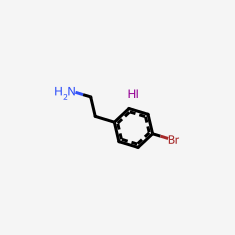 I.NCCc1ccc(Br)cc1